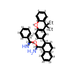 CCC1(CC)c2ccccc2Oc2ccc(-c3ccc4ccccc4c3C(N)OC(=N)c3ccccc3)cc21